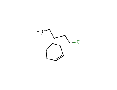 C1=CCCCC1.CCCCCCl